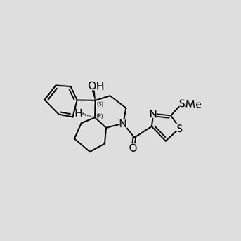 CSc1nc(C(=O)N2CC[C@@](O)(c3ccccc3)[C@@H]3CCCCC32)cs1